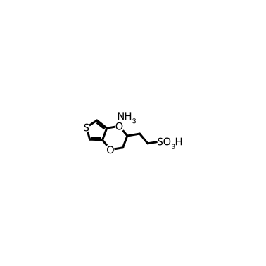 N.O=S(=O)(O)CCC1COc2cscc2O1